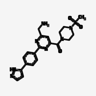 CS(=O)(=O)N1CCN(C(=O)c2cc(CN)nc(-c3ccc(-c4ccn[nH]4)cc3)n2)CC1